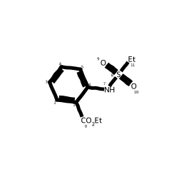 CCOC(=O)c1ccccc1NS(=O)(=O)CC